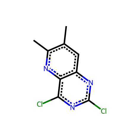 Cc1cc2nc(Cl)nc(Cl)c2nc1C